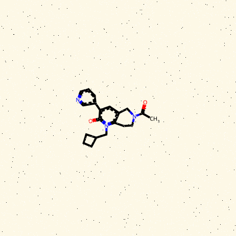 CC(=O)N1CCc2c(cc(-c3cccnc3)c(=O)n2CC2CCC2)C1